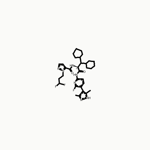 Cc1n[nH]c(C)c1-c1ccc(NC(=O)[C@@H](NC(=O)c2ccnn2CCC(F)F)C(C2CCCCC2)C2CCCCC2)nc1F